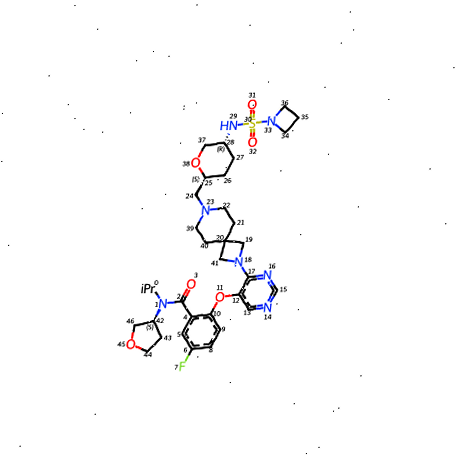 CC(C)N(C(=O)c1cc(F)ccc1Oc1cncnc1N1CC2(CCN(C[C@@H]3CC[C@@H](NS(=O)(=O)N4CCC4)CO3)CC2)C1)[C@H]1CCOC1